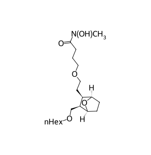 CCCCCCOC[C@H]1[C@@H](CCOCCCC(=O)N(C)O)[C@H]2CC[C@@H]1O2